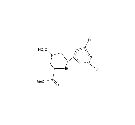 COC(=O)C1CN(C(=O)O)CC(c2cc(Cl)nc(Br)c2)N1